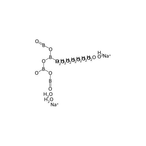 O.O.O.O.O.O.O.O.O.O.O=BOB([O-])OB([O-])OB=O.[Na+].[Na+]